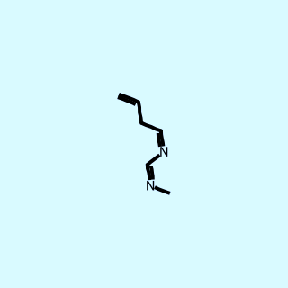 C=CC/C=N\C=N/C